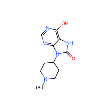 CC(C)(C)N1CCC(n2c(=O)[nH]c3c(O)ncnc32)CC1